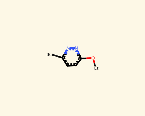 CCOc1ccc(C(C)(C)C)nn1